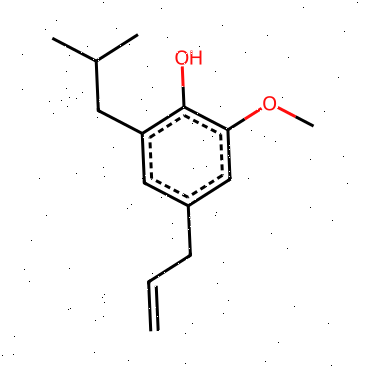 C=CCc1cc(CC(C)C)c(O)c(OC)c1